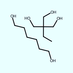 CCC(CO)(CO)CO.OCCCCCCO